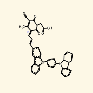 CC1=C(C#N)C(=O)N(CC(=O)O)C(=O)/C1=C\C=C\c1ccc2c(c1)c1ccccc1n2-c1ccc(N2c3ccccc3C3C=CC=CC32)cc1